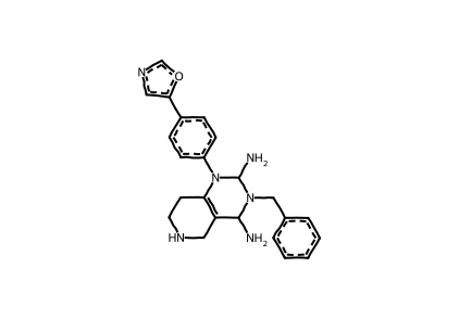 NC1C2=C(CCNC2)N(c2ccc(-c3cnco3)cc2)C(N)N1Cc1ccccc1